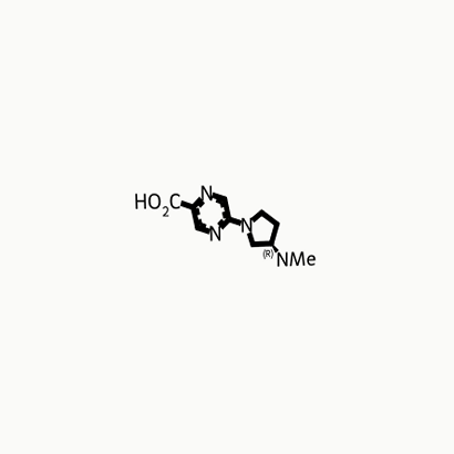 CN[C@@H]1CCN(c2cnc(C(=O)O)cn2)C1